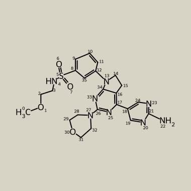 COCCNS(=O)(=O)c1cccc(N2CCc3c(-c4cnc(N)nc4)nc(N4CCOCC4)nc32)c1